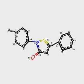 Cc1ccc(-n2sc(-c3ccccc3)cc2=O)cc1